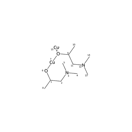 CC(CN(C)C)[O][Cu][O]C(C)CN(C)C.[Cu]